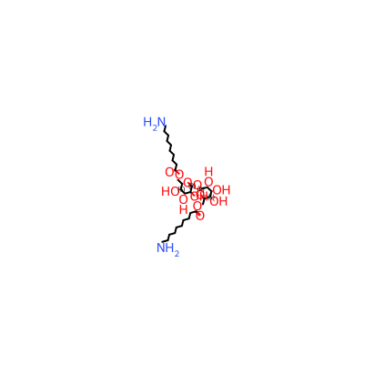 NCCCCCCCCCC(=O)OCC1O[C@H](O[C@H]2OC(COC(=O)CCCCCCCCCN)[C@@H](O)C(O)C2O)C(O)C(O)[C@@H]1O